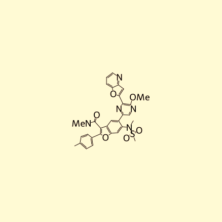 CNC(=O)c1c(-c2ccc(C)cc2)oc2cc(N(C)S(C)(=O)=O)c(-c3cnc(OC)c(-c4cc5ncccc5o4)n3)cc12